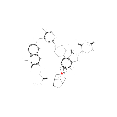 CNC(=O)COc1cc2cc(Nc3nc(N4CCC(O[C@H]5C[C@H](N6C7CCC6CN(c6ccc8c(c6F)CN(C6CCC(=O)NC6=O)C8=O)C7)C5)CC4)ncc3Cl)ccc2n(C(C)C)c1=O